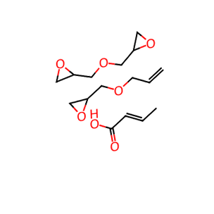 C(OCC1CO1)C1CO1.C=CCOCC1CO1.CC=CC(=O)O